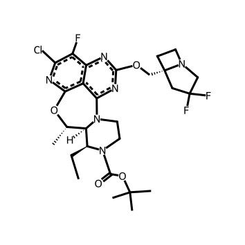 CC[C@H]1[C@H]2[C@H](C)Oc3nc(Cl)c(F)c4nc(OC[C@]56CCN5CC(F)(F)C6)nc(c34)N2CCN1C(=O)OC(C)(C)C